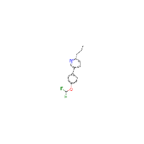 CCCc1ccc(-c2ccc(OC(F)F)cc2)cn1